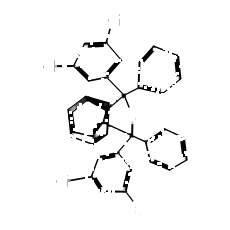 Clc1cc(Cl)cc(C(SC(c2ccccc2)(c2ccccc2)c2cc(Cl)cc(Cl)c2)(c2ccccc2)c2ccccc2)c1